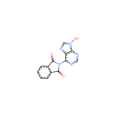 O=C1c2ccccc2C(=O)N1c1ncnc2c1ncn2O